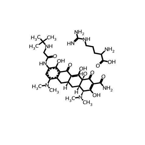 CN(C)c1cc(NC(=O)CNC(C)(C)C)c(O)c2c1C[C@H]1C[C@H]3[C@H](N(C)C)C(O)=C(C(N)=O)C(=O)[C@@]3(O)C(O)=C1C2=O.N=C(N)NCCCC(N)C(=O)O